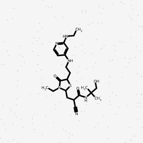 CCNc1cc(NCCC2SC(CC(C#N)C(=O)NC(C)(C)CO)N(CC)C2=O)ccn1